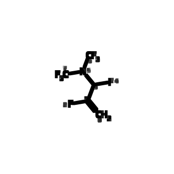 C=C(F)C(F)N(C(F)(F)F)C(F)(F)F